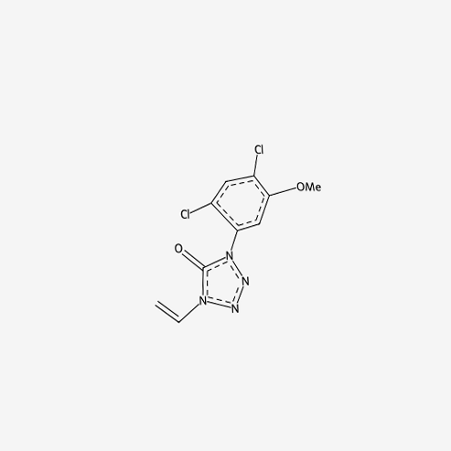 C=Cn1nnn(-c2cc(OC)c(Cl)cc2Cl)c1=O